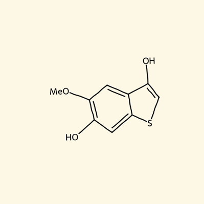 COc1cc2c(O)csc2cc1O